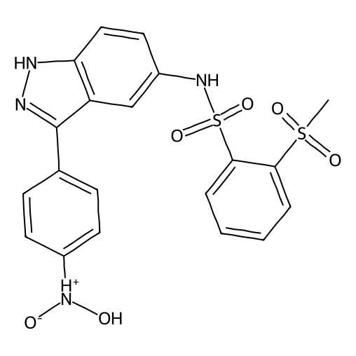 CS(=O)(=O)c1ccccc1S(=O)(=O)Nc1ccc2[nH]nc(-c3ccc([NH+]([O-])O)cc3)c2c1